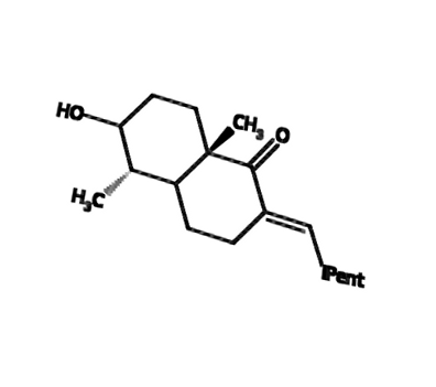 CCCC(C)C=C1CCC2[C@H](C)C(O)CC[C@]2(C)C1=O